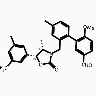 COc1ccc(C=O)cc1-c1ccc(C)cc1CN1C(=O)O[C@H](c2cc(C)cc(C(F)(F)F)c2)[C@@H]1C